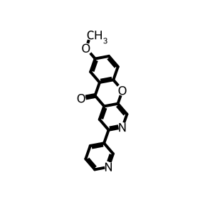 COc1ccc2oc3cnc(-c4cccnc4)cc3c(=O)c2c1